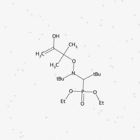 C=C(O)C(C)(C)ON(C(C(C)(C)C)P(=O)(OCC)OCC)C(C)(C)C